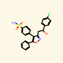 NS(=O)(=O)c1ccc(-c2c(CC(O)c3ccc(Cl)cc3)noc2-c2ccccc2)cc1